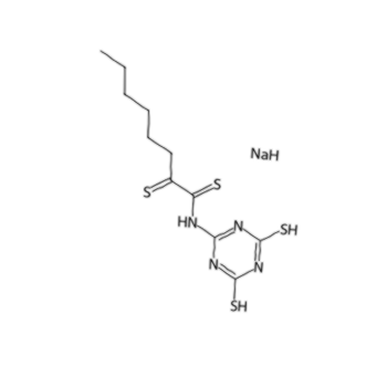 CCCCCCC(=S)C(=S)Nc1nc(S)nc(S)n1.[NaH]